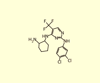 NC1CCCCC1Nc1nc(Nc2ccc(Cl)c(Cl)c2)ncc1C(F)(F)F